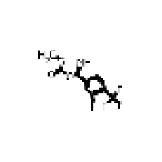 CSC(=O)OC(=N)c1ccc(C(F)(F)F)c(F)c1